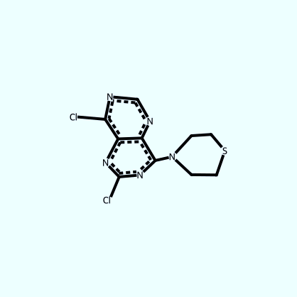 Clc1nc(N2CCSCC2)c2ncnc(Cl)c2n1